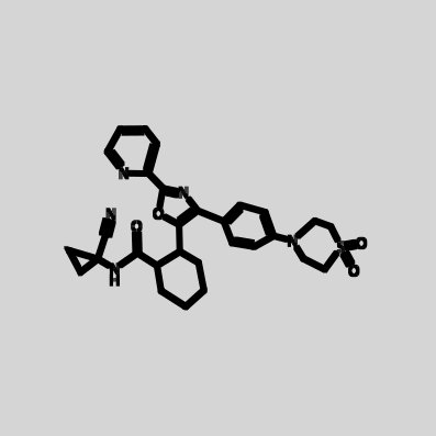 N#CC1(NC(=O)C2CCCCC2c2oc(-c3ccccn3)nc2-c2ccc(N3CCS(=O)(=O)CC3)cc2)CC1